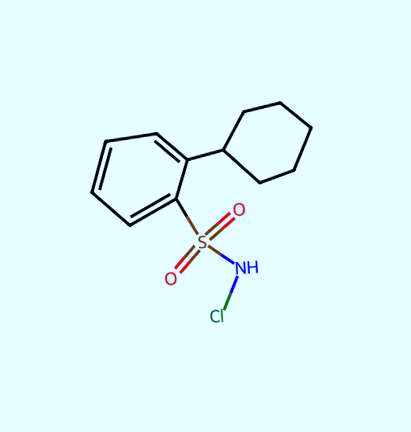 O=S(=O)(NCl)c1ccccc1C1CCCCC1